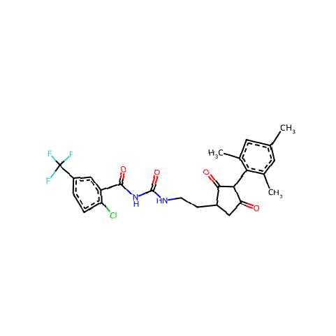 Cc1cc(C)c(C2C(=O)CC(CCNC(=O)NC(=O)c3cc(C(F)(F)F)ccc3Cl)C2=O)c(C)c1